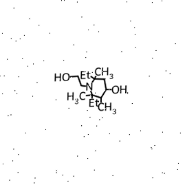 CCC1(C)CC(O)C(C)C(C)(CC)N1CCO